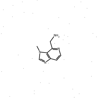 Cn1cnc2ccnc(CN)c21